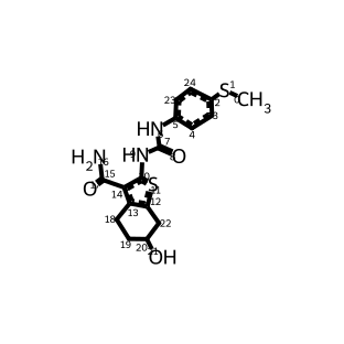 CSc1ccc(NC(=O)Nc2sc3c(c2C(N)=O)CCC(O)C3)cc1